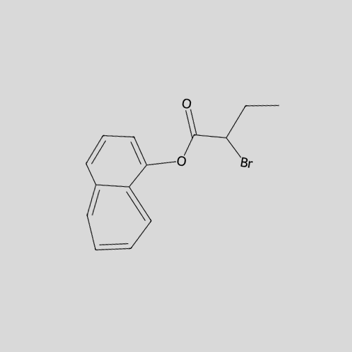 CCC(Br)C(=O)Oc1cccc2ccccc12